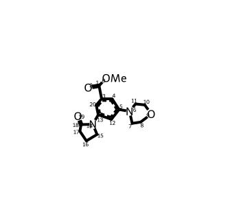 COC(=O)c1cc(N2CCOCC2)cc(N2CCCC2=O)c1